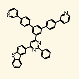 c1ccc(-c2nc(-c3cc(-c4ccc(-c5cccnc5)cc4)cc(-c4ccc(-c5cccnc5)cc4)c3)cc(-c3ccc4sc5ccccc5c4c3)n2)cc1